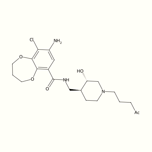 CC(=O)CCCN1CC[C@@H](CNC(=O)c2cc(N)c(Cl)c3c2OCCCO3)[C@H](O)C1